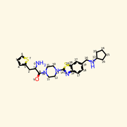 NC(Cc1cccs1)C(=O)N1CCN(c2nc3ccc(CNC4CCCC4)cc3s2)CC1